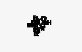 CCOC(CC)c1cccc2[nH]c3cnc(-c4nc(CC)no4)c(COC)c3c12